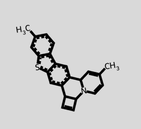 CC1=CC2c3cc4c(cc3C3C=CC3N2C=C1)sc1cc(C)ccc14